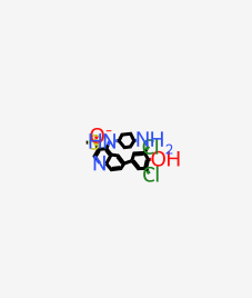 C[S+]([O-])c1cnc2ccc(-c3cc(Cl)c(O)c(Cl)c3)cc2c1NC1CCC(N)CC1